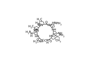 CNC1CCNC(=O)C(CC(C)C)NC(=O)C(CCNP)NC(=O)C(CCNP)NC(=O)C(CC(C)C)NC(=O)C(CC(C)C)NC(=O)C(CCNP)NC1=O